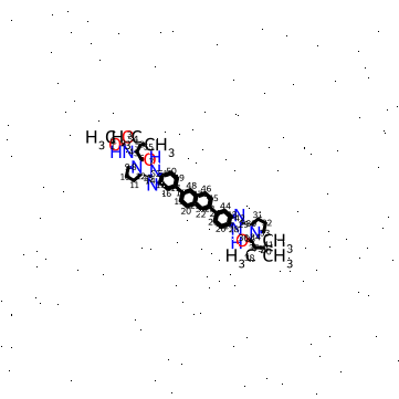 COC(=O)N[C@@H](C(=O)N1CCC[C@H]1c1nc2cc(-c3ccc4cc(-c5ccc6[nH]c([C@@H]7CCCN7C(=O)[C@H](C)C(C)C)nc6c5)ccc4c3)ccc2[nH]1)C(C)C